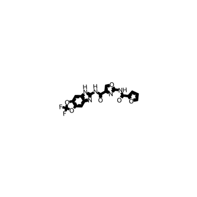 O=C(Nc1nc2cc3c(cc2[nH]1)OC(F)(F)O3)c1coc(NC(=O)c2ccco2)n1